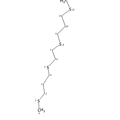 CSCCCSCCSCCCSC